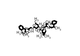 CCCC(NC(=O)[C@@H]1[C@@H]2C(CN1C(=O)C(NCCC(C)c1ccccc1)C(C)(C)C)C2(C)C)C(=O)C(=O)NCC(=O)N[C@H](C(=O)N(C)C)c1ccccc1